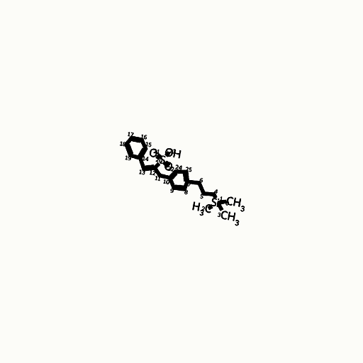 C[Si](C)(C)CCCc1ccc(CC(=Cc2ccccc2)S(=O)(=O)O)cc1